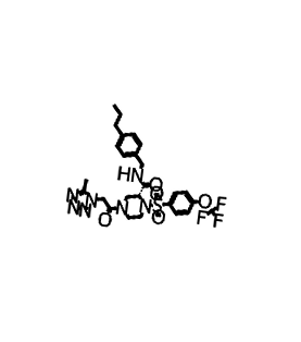 CCCc1ccc(CNC(=O)[C@H]2CN(C(=O)Cn3nnnc3C)CCN2S(=O)(=O)c2ccc(OC(F)(F)F)cc2)cc1